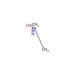 CCCCCCCCCCCCc1nc(C(C)O)c[nH]1